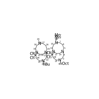 CCCCCCCCN1CCN2CCCN(C)CCN(CC2)C(Cl)(Cl)CC1.CCCCN1CCN2CCCN(C)CCN(CC2)C(Cl)(Cl)CC1.[Mn].[Mn]